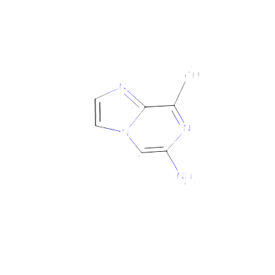 Cc1nc(N)cn2ccnc12